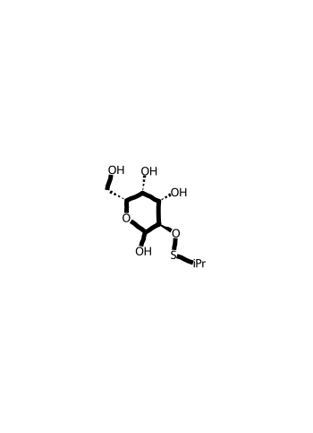 CC(C)SO[C@H]1C(O)O[C@H](CO)[C@H](O)[C@@H]1O